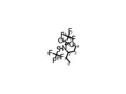 CCC(CC)N(SC(F)(F)F)S(=O)(=O)C(F)(F)F